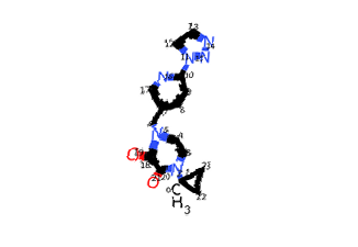 CC1(n2ccn(Cc3ccc(-n4ccnn4)nc3)c(=O)c2=O)CC1